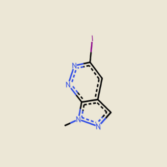 Cn1ncc2cc(I)nnc21